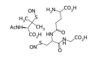 CC(=O)N[C@H](C(=O)O)C(C)(C)SN=O.NC(CCC(=O)NC(CSN=O)C(=O)NCC(=O)O)C(=O)O